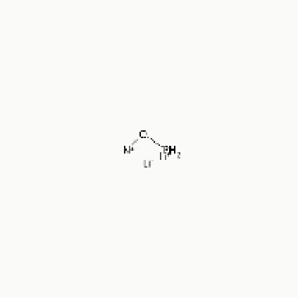 [Li+].[Li+].[N-2]OP